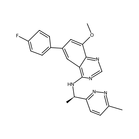 COc1cc(-c2ccc(F)cc2)cc2c(N[C@H](C)c3ccc(C)nn3)ncnc12